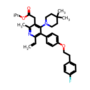 C=Cc1nc(C)c(CC(=O)OC(C)C)c(N2CCC(C)(C)CC2)c1-c1ccc(OCCc2ccc(F)cc2)cc1